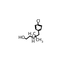 CC(C)(Cc1ccc(Cl)cc1)NCCO